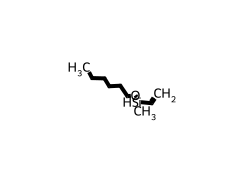 C=C[SiH](C)OCCCCCC